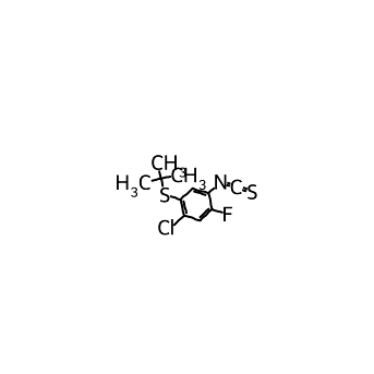 CC(C)(C)Sc1cc(N=C=S)c(F)cc1Cl